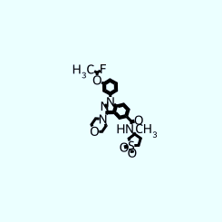 CC(F)Oc1cccc(-n2nc(N3CCOCC3)c3cc(C(=O)N[C@@]4(C)CCS(=O)(=O)C4)ccc32)c1